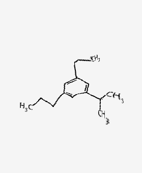 CCCc1cc(CC)cc([C](C)C)c1